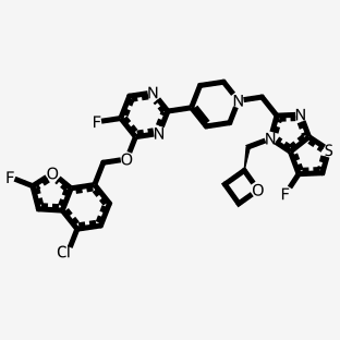 Fc1cc2c(Cl)ccc(COc3nc(C4=CCN(Cc5nc6scc(F)c6n5C[C@@H]5CCO5)CC4)ncc3F)c2o1